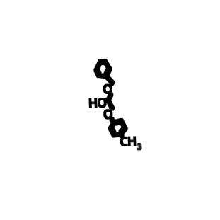 Cc1ccc(OCC(O)COCc2ccccc2)cc1